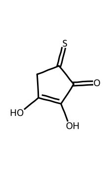 O=C1C(=S)CC(O)=C1O